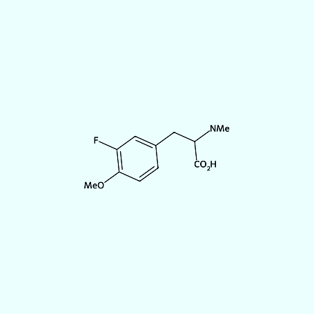 CNC(Cc1ccc(OC)c(F)c1)C(=O)O